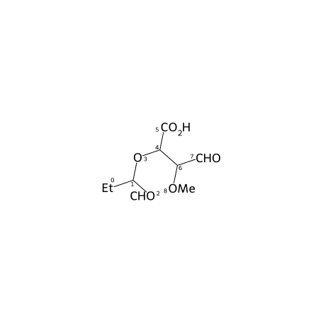 CCC(C=O)OC(C(=O)O)C(C=O)OC